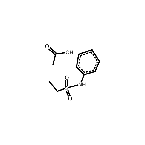 CC(=O)O.CCS(=O)(=O)Nc1ccccc1